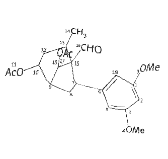 COc1cc(OC)cc(C2CC3C(OC(C)=O)CC(C)C2(C=O)C3OC(C)=O)c1